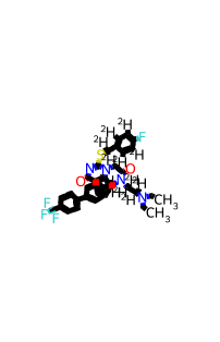 [2H]c1c([2H])c(C([2H])([2H])Sc2nc(=O)c3c(n2CC(=O)N(C([2H])([2H])c2ccc(-c4ccc(C(F)(F)F)cc4)cc2)C([2H])([2H])C([2H])([2H])N(CC)CC)CCC3)c([2H])c([2H])c1F